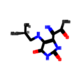 COC(=O)C(=N)c1[nH]c(=O)[nH]c(=O)c1NC[C@H](C)OC